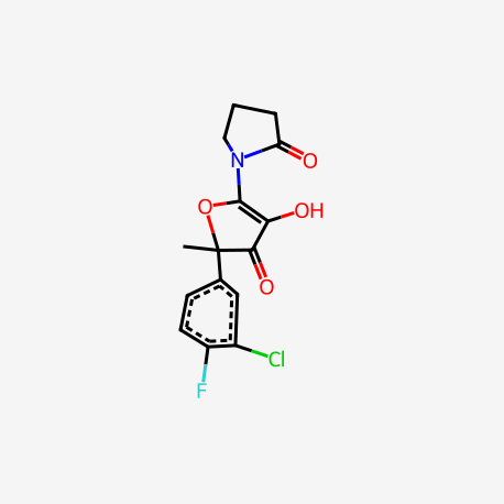 CC1(c2ccc(F)c(Cl)c2)OC(N2CCCC2=O)=C(O)C1=O